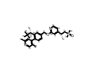 Cc1cc(-c2ccc(COc3cc([C@@H](C)CP(C)(C)=O)ccn3)cc2[C@@H](C)C(C)(C)C)c(F)cn1